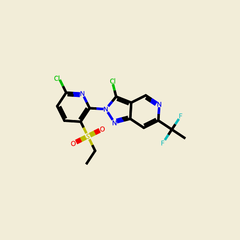 CCS(=O)(=O)c1ccc(Cl)nc1-n1nc2cc(C(C)(F)F)ncc2c1Cl